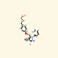 Cc1nn(-c2ccccn2)c(COc2ccc(CCCO)cc2)c1C#N